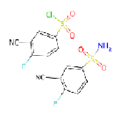 N#Cc1cc(S(=O)(=O)Cl)ccc1F.N#Cc1cc(S(N)(=O)=O)ccc1F